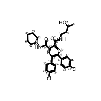 CC(O)CCNC(=O)c1nc(-c2ccc(Cl)cc2)c(-c2ccc(Cl)cc2)nc1C(=O)NN1CCCCC1